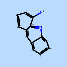 [N]c1cccc2cc3ccccc3nc12